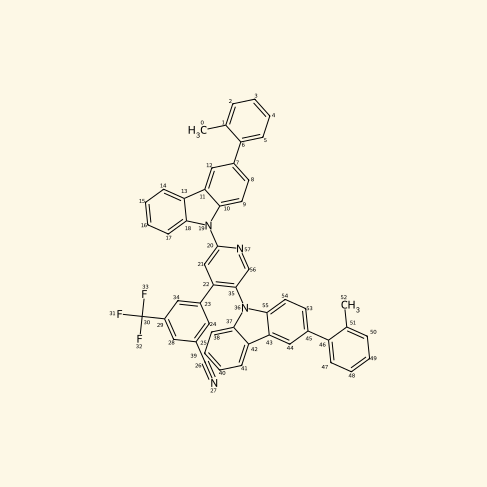 Cc1ccccc1-c1ccc2c(c1)c1ccccc1n2-c1cc(-c2cc(C#N)cc(C(F)(F)F)c2)c(-n2c3ccccc3c3cc(-c4ccccc4C)ccc32)cn1